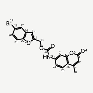 Cc1cc(=O)oc2cc(NC(=O)OCc3cc4cc(Br)ccc4o3)ccc12